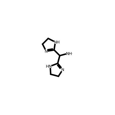 [NH]C(C1=NCCN1)C1=NCCN1